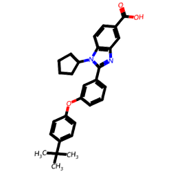 CC(C)(C)c1ccc(Oc2cccc(-c3nc4cc(C(=O)O)ccc4n3C3CCCC3)c2)cc1